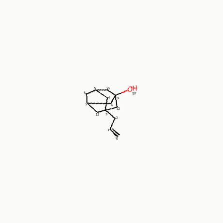 C=CCC12CC3CC(CC(O)(C3)C1)C2